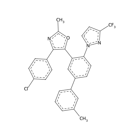 Cc1cccc(-c2ccc(-n3ccc(C(F)(F)F)n3)c(-c3oc(C)nc3-c3ccc(Cl)cc3)c2)c1